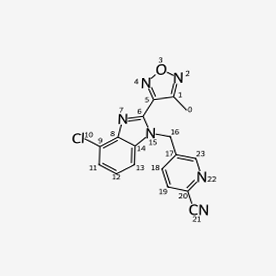 Cc1nonc1-c1nc2c(Cl)cccc2n1Cc1ccc(C#N)nc1